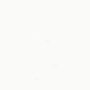 CC(C)(C)OC(=O)N1CCc2ncc(N)cc2C1